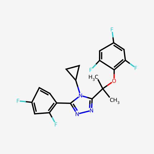 CC(C)(Oc1c(F)cc(F)cc1F)c1nnc(-c2ccc(F)cc2F)n1C1CC1